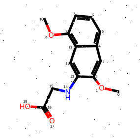 COc1cc2cccc(OC)c2cc1NCC(=O)O